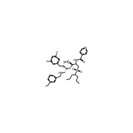 CCCC(CCC)S(=O)(=O)CC(NC(=O)c1ccncc1)C(=O)O[C@H](CNCc1cccc(CC)c1)[C@@H](N)Cc1cc(F)cc(F)c1